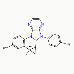 CC(C)c1ccc(N2c3nccnc3N3c4ccc(C(C)C)cc4C4(C)CC4(C)C23)cc1